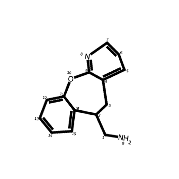 NCC1Cc2cccnc2Oc2ccccc21